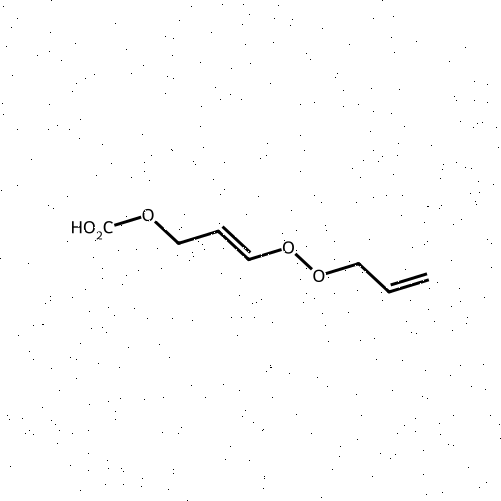 C=CCOOC=CCOC(=O)O